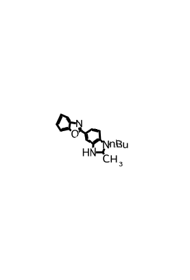 CCCCN1c2ccc(-c3nc4ccccc4o3)cc2NC1C